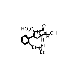 CCN(CC)CC.Cc1ccccc1C1=C(C(=O)O)N2C(=O)[C@H]([C@@H](C)O)[C@H]2S1